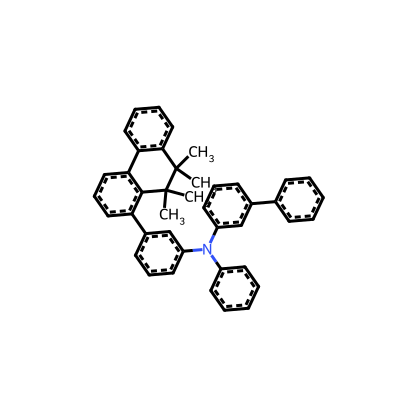 CC1(C)c2ccccc2-c2cccc(-c3cccc(N(c4ccccc4)c4cccc(-c5ccccc5)c4)c3)c2C1(C)C